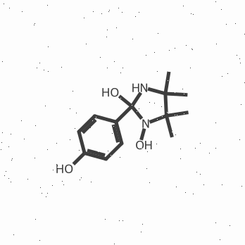 CC1(C)NC(O)(c2ccc(O)cc2)N(O)C1(C)C